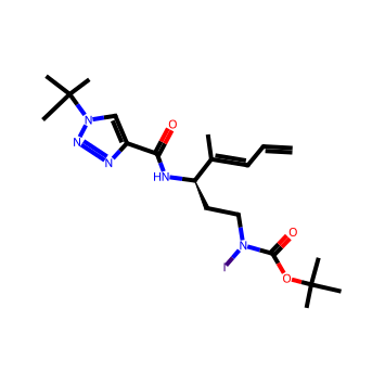 C=C/C=C(\C)[C@@H](CCN(I)C(=O)OC(C)(C)C)NC(=O)c1cn(C(C)(C)C)nn1